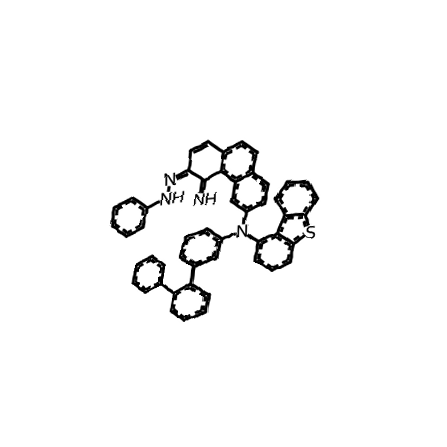 N=C1/C(=N\Nc2ccccc2)C=Cc2ccc3ccc(N(c4cccc(-c5ccccc5-c5ccccc5)c4)c4cccc5sc6ccccc6c45)cc3c21